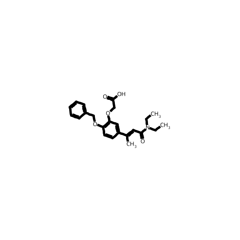 CCN(CC)C(=O)C=C(C)c1ccc(OCc2ccccc2)c(OCC(=O)O)c1